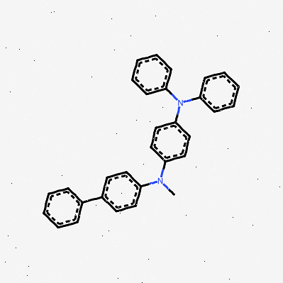 CN(c1ccc(-c2ccccc2)cc1)c1ccc(N(c2ccccc2)c2ccccc2)cc1